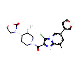 C[C@H]1CN(C(=O)c2nc3c(C(F)(F)F)cc(-c4ccoc4)cn3c2Cl)CC[C@@H]1N1CCOC1=O